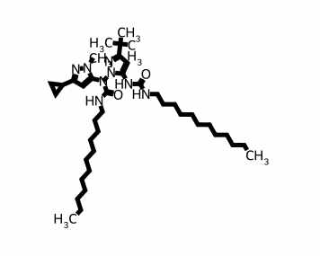 CCCCCCCCCCCCNC(=O)Nc1cc(C(C)(C)C)nn1N(C(=O)NCCCCCCCCCCCC)c1cc(C2CC2)nn1C